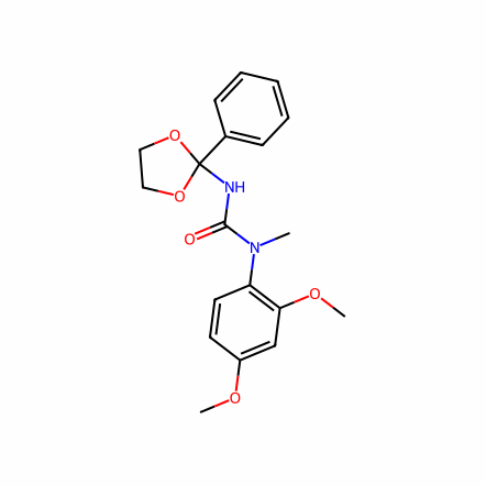 COc1ccc(N(C)C(=O)NC2(c3ccccc3)OCCO2)c(OC)c1